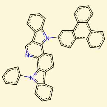 c1ccc(-n2c3ccccc3c3ccc4c(ncc5c6ccccc6n(-c6ccc7c8ccccc8c8ccccc8c7c6)c54)c32)cc1